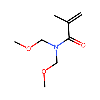 C=C(C)C(=O)N(COC)COC